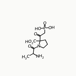 CC(N)C(=O)N1CCCC1(C(=O)O)C(=O)CP(=O)(O)O